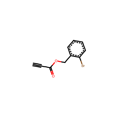 C#CC(=O)OCc1ccccc1Br